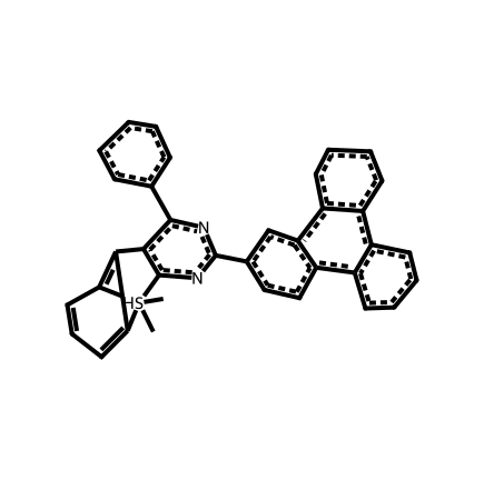 C[SH]12(C)C3=CC=CC1=C3c1c(-c3ccccc3)nc(-c3ccc4c5ccccc5c5ccccc5c4c3)nc12